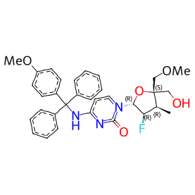 COC[C@]1(CO)O[C@@H](n2ccc(NC(c3ccccc3)(c3ccccc3)c3ccc(OC)cc3)nc2=O)[C@H](F)[C@@H]1C